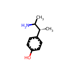 CC(N)[C@H](C)c1ccc(O)cc1